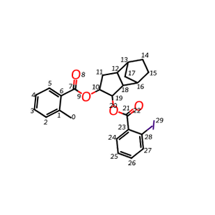 Cc1ccccc1C(=O)OC1CC2C3CCC(C3)C2C1OC(=O)c1ccccc1I